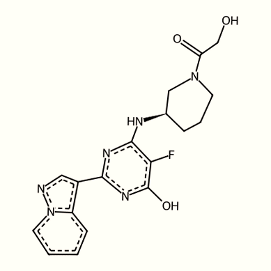 O=C(CO)N1CCC[C@@H](Nc2nc(-c3cnn4ccccc34)nc(O)c2F)C1